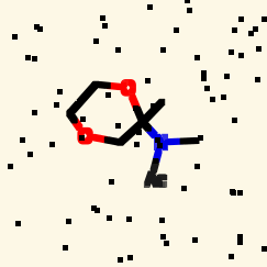 CC(=O)N(C)C1(C)COCCO1